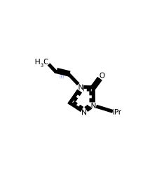 C/C=C/n1cnn(C(C)C)c1=O